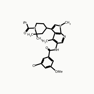 COc1cc(Cl)cc(C(=O)Nc2cnc3c(c(C4CCN(C(=O)C(C)C)C(C)(C)C4)cn3C)c2C)c1